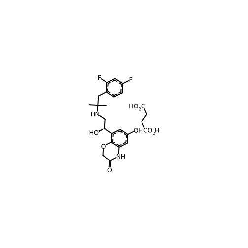 CC(C)(Cc1ccc(F)cc1F)NC[C@H](O)c1cc(O)cc2c1OCC(=O)N2.O=C(O)CCC(=O)O